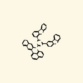 c1ccc2cc3c(cc2c1)-c1cccc2cccc(c12)N3c1nc(-c2ccc3sc4ccccc4c3c2)nc(-c2cccc3c2oc2ccccc23)n1